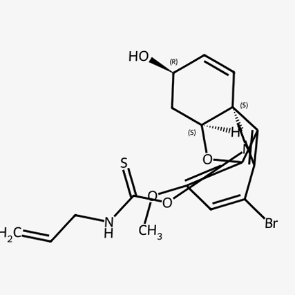 C=CCNC(=S)ON1CC[C@@]23C=C[C@H](O)C[C@@H]2Oc2c(OC)cc(Br)c(c23)C1